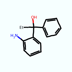 CCC(O)(c1ccccc1)c1ccccc1N